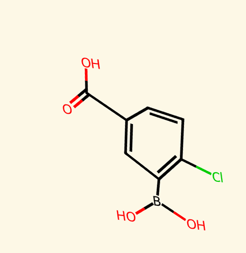 O=C(O)c1ccc(Cl)c(B(O)O)c1